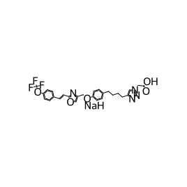 O=C(O)Cn1cc(CCCCc2ccc(OCc3coc(/C=C/c4ccc(OC(F)(F)F)cc4)n3)cc2)nn1.[NaH]